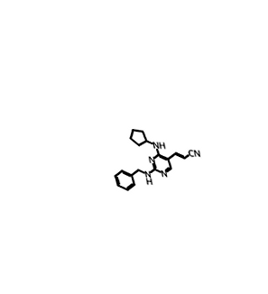 N#C/C=C/c1cnc(NCc2ccccc2)nc1NC1CCCC1